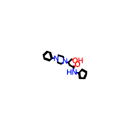 O=C(CC(CO)N1CCN(c2ccccc2)CC1)Nc1ccccc1